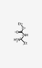 CCOC(=O)NC(N)CC